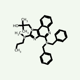 CCCN(C)c1nc2c(N(Cc3ccccc3)Cc3ccccc3)nc3ccccc3c2n1CC(C)(C)O